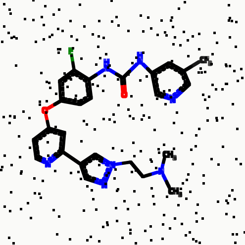 CN(C)CCn1cc(-c2cc(Oc3ccc(NC(=O)Nc4cncc(C(F)(F)F)c4)c(F)c3)ccn2)cn1